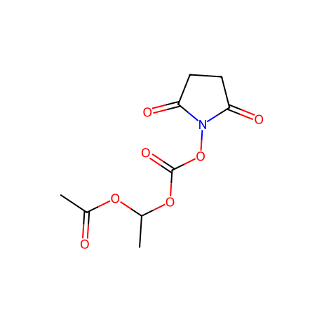 CC(=O)OC(C)OC(=O)ON1C(=O)CCC1=O